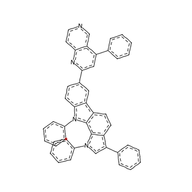 c1ccc(-c2cc(-c3ccc4c(c3)c3ccc5c(-c6ccccc6)cn(-c6ccccc6)c5c3n4-c3ccccc3)nc3ccncc23)cc1